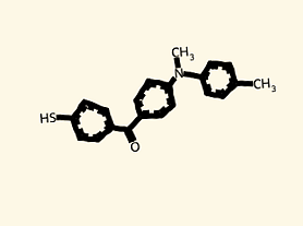 Cc1ccc(N(C)c2ccc(C(=O)c3ccc(S)cc3)cc2)cc1